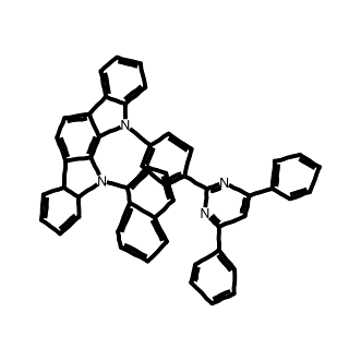 C1=CC2c3ccc4c5ccccc5n(-c5ccc(-c6nc(-c7ccccc7)cc(-c7ccccc7)n6)cc5)c4c3N(c3cccc4ccccc34)C2C=C1